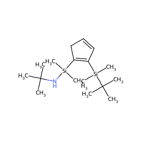 CC(C)(C)N[Si](C)(C)C1=C([Si](C)(C)C(C)(C)C)C=CC1